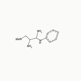 CNCC(N)C(N)Nc1ccccc1